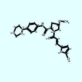 CO[C@@H]1C[C@H](C(=O)Nc2ccc(N3CCOCO3)cc2)N(C(=O)/C=C/c2ccc(Cl)o2)C1